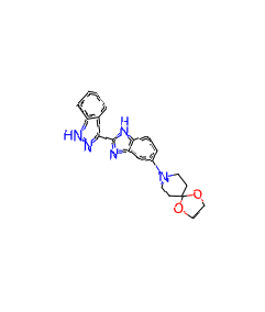 c1ccc2c(-c3nc4cc(N5CCC6(CC5)OCCO6)ccc4[nH]3)n[nH]c2c1